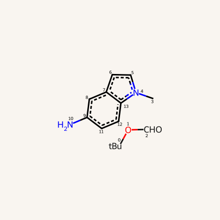 CC(C)(C)OC=O.Cn1ccc2cc(N)ccc21